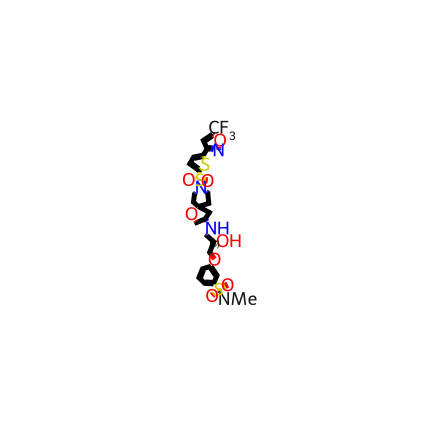 CNS(=O)(=O)c1cccc(OC[C@@H](O)CNC2COC3(CCN(S(=O)(=O)c4ccc(-c5cc(C(F)(F)F)on5)s4)CC3)C2)c1